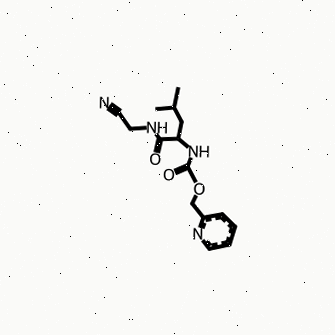 CC(C)CC(NC(=O)OCc1ccccn1)C(=O)NCC#N